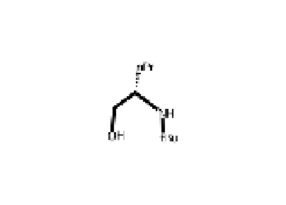 CCC[C@@H](CO)NC(C)(C)C